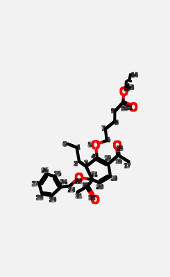 CCCC1C(OCCCCC(=O)OCC)=C(C(C)=O)C=CC1(OCc1ccccc1)C(C)=O